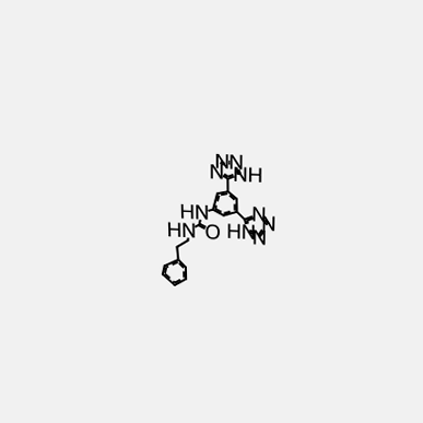 O=C(NCCc1ccccc1)Nc1cc(-c2nnn[nH]2)cc(-c2nnn[nH]2)c1